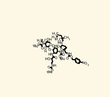 CN(C)CC(C)(C)CN[C@@H]1CC=C(CNC(=O)OCc2ccc([N+](=O)[O-])cc2)O[C@@H]1O[C@H]1[C@H](O)[C@@H](O[C@H]2OC[C@](C)(O)[C@H](N(C)C(=O)OC(C)(C)C)[C@H]2O)[C@H](NC(=O)[C@@H](O)CCNC(=O)OC(C)(C)C)C[C@@H]1NC(=O)OC(C)(C)C